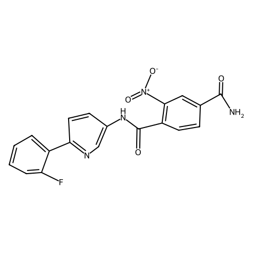 NC(=O)c1ccc(C(=O)Nc2ccc(-c3ccccc3F)nc2)c([N+](=O)[O-])c1